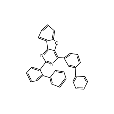 c1ccc(-c2cccc(-c3nc(-c4ccccc4-c4ccccc4)nc4c3oc3ccccc34)c2)cc1